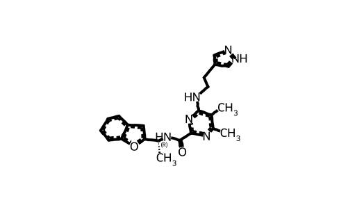 Cc1nc(C(=O)N[C@H](C)c2cc3ccccc3o2)nc(NCCc2cn[nH]c2)c1C